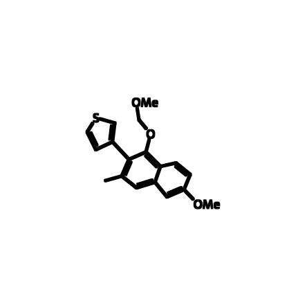 COCOc1c(-c2ccsc2)c(C)cc2cc(OC)ccc12